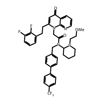 COCCN1CCCCC1N(Cc1ccc(-c2ccc(C(F)(F)F)cc2)cc1)C(=O)Cn1c(CCc2cccc(F)c2F)cc(=O)c2cccnc21